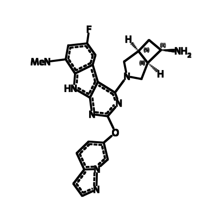 CNc1cc(F)cc2c1[nH]c1nc(Oc3ccc4ccnn4c3)nc(N3C[C@H]4C[C@@H](N)[C@H]4C3)c12